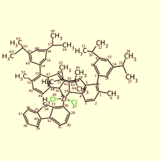 Cc1ccc2c(c1-c1cc(C(C)C)cc(C(C)C)c1)C=C(C(C)C)[CH]2[Zr]([Cl])([Cl])([c]1cccc2c1[SiH2]c1ccccc1-2)[CH]1C(C(C)C)=Cc2c1ccc(C)c2-c1cc(C(C)C)cc(C(C)C)c1